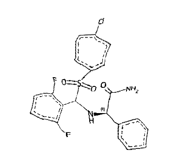 NC(=O)[C@H](NC(c1c(F)cccc1F)S(=O)(=O)c1ccc(Cl)cc1)c1ccccc1